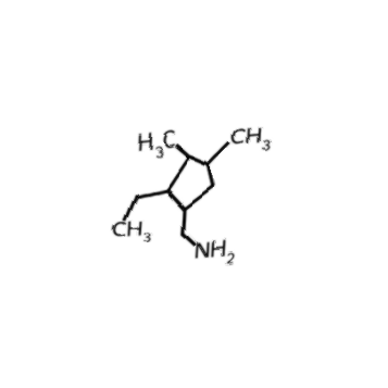 CCC1C(CN)CC(C)C1C